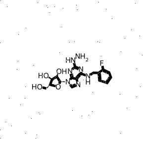 NNc1nc(NCc2ccccc2F)c2ncn([C@@H]3O[C@H](CO)[C@@H](O)[C@H]3O)c2n1